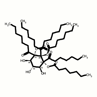 CCCCCCC(=O)O[C@@]1(C(=O)CCCCCC)[C@@](OC(=O)CCCCCC)(C(=O)CCCCCC)[C@@H](O)[C@H](O)[C@@H](O)[C@@]1(OC(=O)CCCCCC)C(=O)CCCCCC